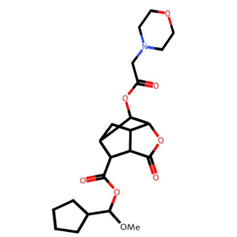 COC(OC(=O)C1C2CC3C(OC(=O)C31)C2OC(=O)CN1CCOCC1)C1CCCC1